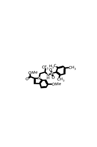 COC(=O)c1cc2ccc(OC)cc2n1CC(NS(=O)(=O)c1c(C)cc(C)cc1C)C(F)(F)F